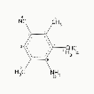 Cc1cc(C#N)c(C)c(C)c1N.Cl